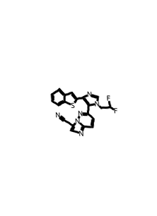 N#Cc1cnc2ccc(-c3c(-c4cc5ccccc5s4)ncn3CC(F)F)nn12